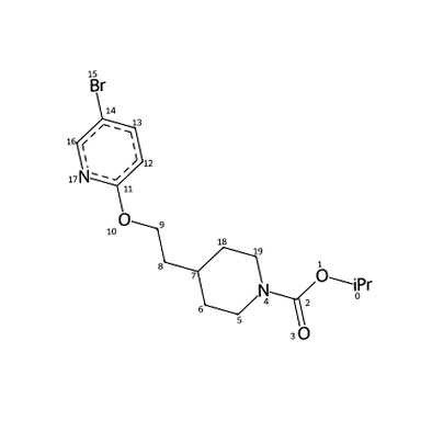 CC(C)OC(=O)N1CCC(CCOc2ccc(Br)cn2)CC1